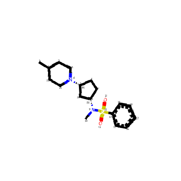 CC1CCN([C@@H]2CC[C@H](N(C)S(=O)(=O)c3ccccc3)C2)CC1